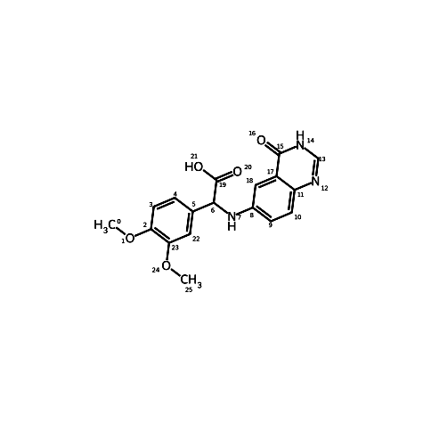 COc1ccc(C(Nc2ccc3nc[nH]c(=O)c3c2)C(=O)O)cc1OC